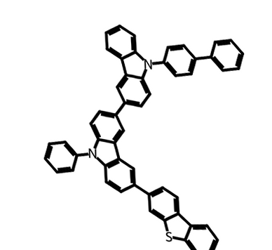 c1ccc(-c2ccc(-n3c4ccccc4c4cc(-c5ccc6c(c5)c5cc(-c7ccc8c(c7)sc7ccccc78)ccc5n6-c5ccccc5)ccc43)cc2)cc1